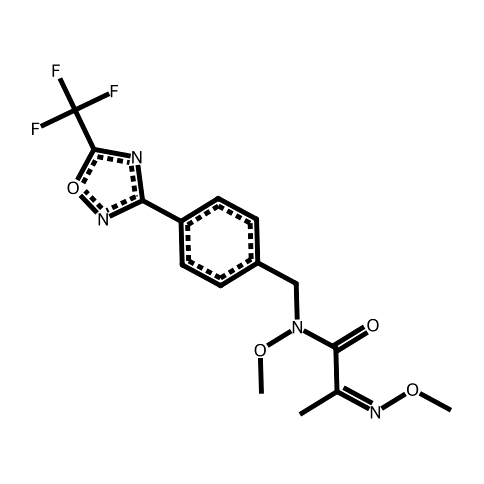 CO/N=C(/C)C(=O)N(Cc1ccc(-c2noc(C(F)(F)F)n2)cc1)OC